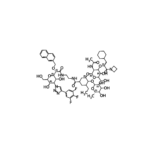 CCC1CC(C(=O)NCCNC(=O)[C@@H](OCc2ccc3ccccc3c2)[C@@H]2OC(CO)[C@H](O)C(n3cc(-c4cc(F)c(F)c(F)c4)nn3)C2O)C[C@@H](O[C@@H]2OC(CO)[C@H](O)C(O[C@@H](CC3CCCCC3)C(=O)N3CCC3)C2NC(C)=O)C1OC1O[C@@H](C)C(O)C(O)[C@@H]1O